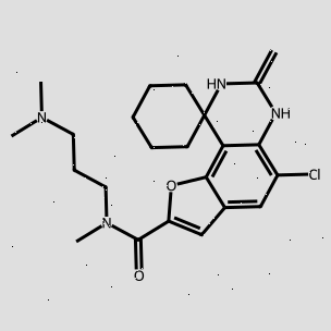 C=C1Nc2c(Cl)cc3cc(C(=O)N(C)CCCN(C)C)oc3c2C2(CCCCC2)N1